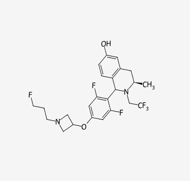 C[C@@H]1Cc2cc(O)ccc2C(c2c(F)cc(OC3CN(CCCF)C3)cc2F)N1CC(F)(F)F